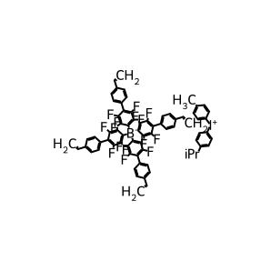 C=Cc1ccc(-c2c(F)c(F)c([B-](c3c(F)c(F)c(-c4ccc(C=C)cc4)c(F)c3F)(c3c(F)c(F)c(-c4ccc(C=C)cc4)c(F)c3F)c3c(F)c(F)c(-c4ccc(C=C)cc4)c(F)c3F)c(F)c2F)cc1.Cc1ccc([I+]c2ccc(C(C)C)cc2)cc1